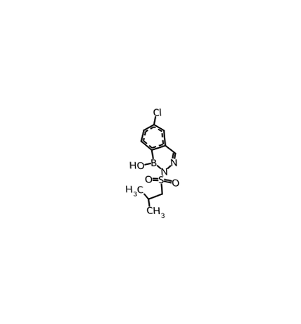 CC(C)CS(=O)(=O)N1N=Cc2cc(Cl)ccc2B1O